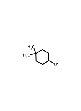 CC1(C)CCC(Br)CC1